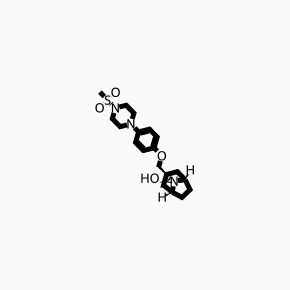 CS(=O)(=O)N1CCN(c2ccc(OC[C@H]3C[C@H]4CC[C@@H](C3)N4C(=O)O)cc2)CC1